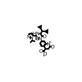 COC(=O)C1CC(=O)N(C)c2cc(NC(=O)[C@@H](NC(=O)c3ccnn3C(C)C)C(C3CC3)C3CC3)ccc21